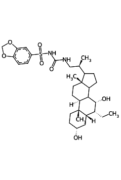 CC[C@H]1[C@@H](O)C2C3CCC([C@H](C)CNC(=O)NS(=O)(=O)c4ccc5c(c4)OCO5)[C@@]3(C)CC[C@@H]2[C@@]2(C)CC[C@@H](O)C[C@@H]12